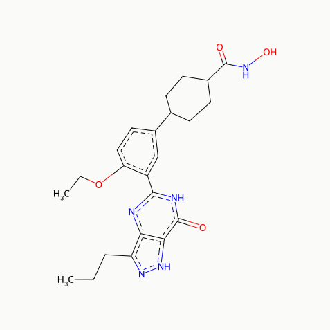 CCCc1n[nH]c2c(=O)[nH]c(-c3cc(C4CCC(C(=O)NO)CC4)ccc3OCC)nc12